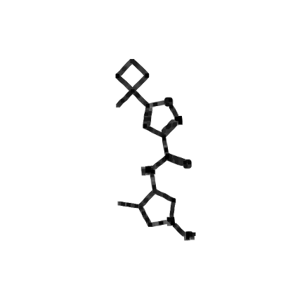 CC1CN(C(C)C)CC1NC(=O)c1cc(C2(C)CCC2)on1